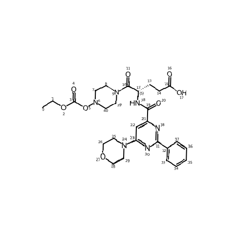 CCOC(=O)ON1CCN(C(=O)[C@H](CCC(=O)O)NC(=O)c2cc(N3CCOCC3)nc(-c3ccccc3)n2)CC1